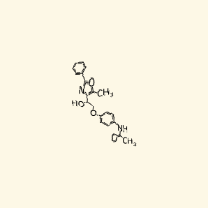 CC(=O)Nc1ccc(OCC(O)c2nc(-c3ccccc3)oc2C)cc1